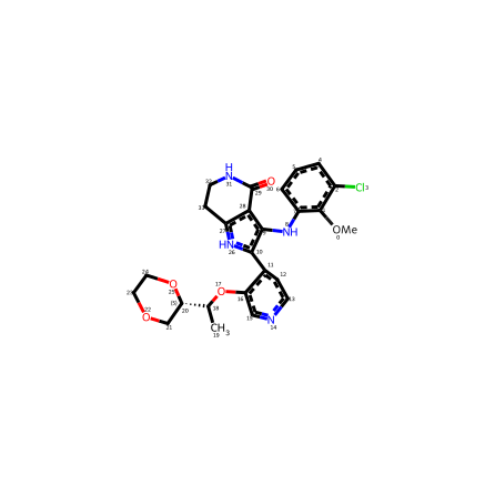 COc1c(Cl)cccc1Nc1c(-c2ccncc2OC(C)[C@@H]2COCCO2)[nH]c2c1C(=O)NCC2